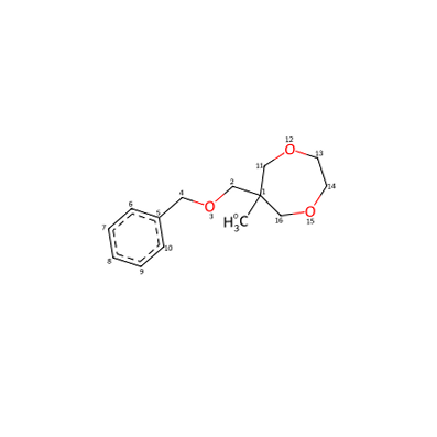 CC1(COCc2ccccc2)COCCOC1